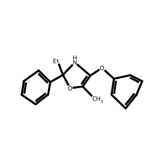 CCC1(c2ccccc2)NC(Oc2ccccc2)=C(C)O1